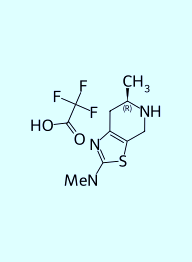 CNc1nc2c(s1)CN[C@H](C)C2.O=C(O)C(F)(F)F